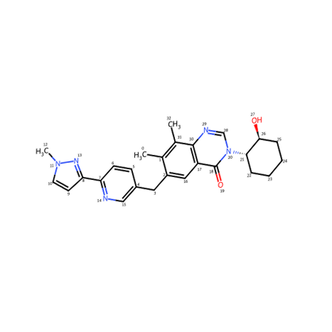 Cc1c(Cc2ccc(-c3ccn(C)n3)nc2)cc2c(=O)n([C@H]3CCCC[C@@H]3O)cnc2c1C